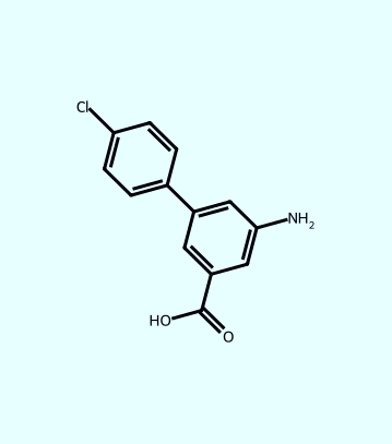 Nc1cc(C(=O)O)cc(-c2ccc(Cl)cc2)c1